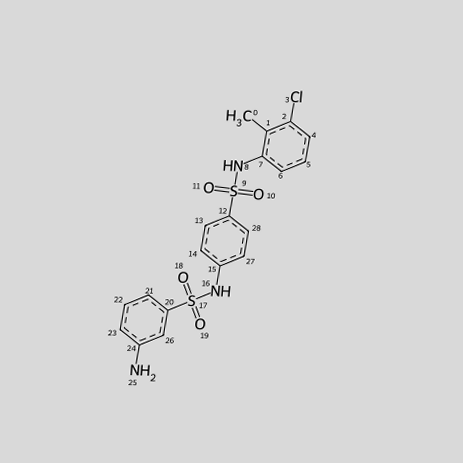 Cc1c(Cl)cccc1NS(=O)(=O)c1ccc(NS(=O)(=O)c2cccc(N)c2)cc1